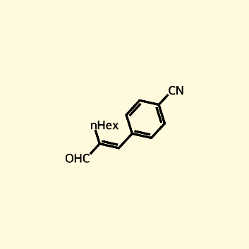 CCCCCC/C(C=O)=C\c1ccc(C#N)cc1